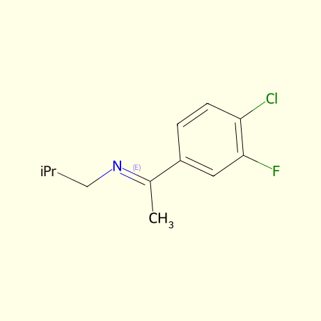 C/C(=N\CC(C)C)c1ccc(Cl)c(F)c1